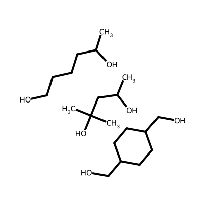 CC(O)CC(C)(C)O.CC(O)CCCCO.OCC1CCC(CO)CC1